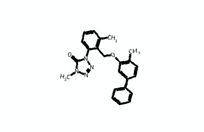 Cc1ccc(-c2ccccc2)cc1OCc1c(C)cccc1-n1nnn(C)c1=O